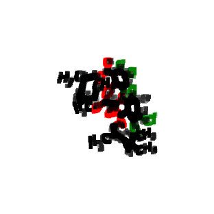 CCC1(C)CC1C(C)COC(=O)c1c(Cl)c(Cl)cc(Cl)c1OC(=O)C(=O)Oc1c(Cl)cc(Cl)c(Cl)c1C(=O)OCC(C)C1CC1(C)CC